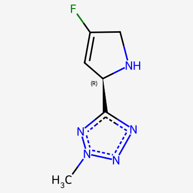 Cn1nnc([C@H]2C=C(F)CN2)n1